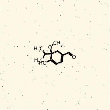 COC1(C(C)C)CC(C=O)=CC=C1O